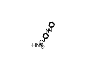 [NH]C(=O)OCc1ccc(N=Nc2ccccc2)cc1